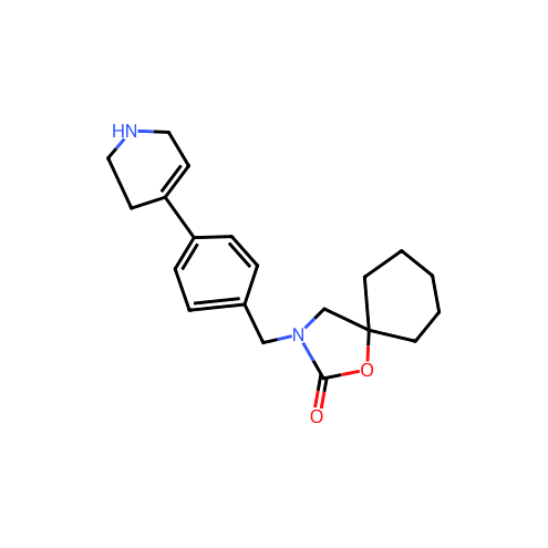 O=C1OC2(CCCCC2)CN1Cc1ccc(C2=CCNCC2)cc1